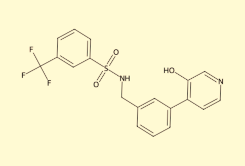 O=S(=O)(NCc1cccc(-c2ccncc2O)c1)c1cccc(C(F)(F)F)c1